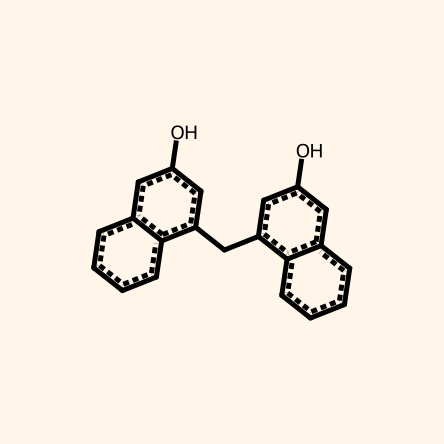 Oc1cc(Cc2cc(O)cc3ccccc23)c2ccccc2c1